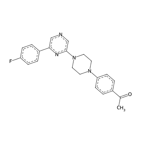 CC(=O)c1ccc(N2CCN(c3cncc(-c4ccc(F)cc4)n3)CC2)cc1